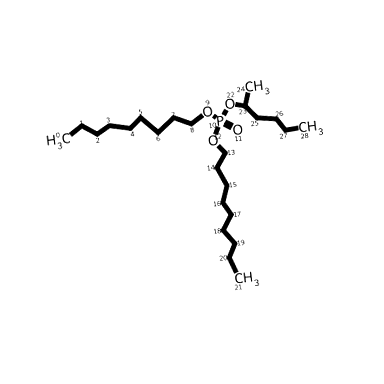 CCCCCCCCCOP(=O)(OCCCCCCCCC)OC(C)CCCC